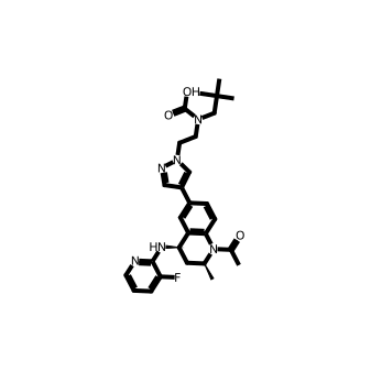 CC(=O)N1c2ccc(-c3cnn(CCN(CC(C)(C)C)C(=O)O)c3)cc2[C@H](Nc2ncccc2F)C[C@@H]1C